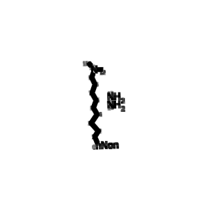 CCCCCCCCCCCCCCCCCCN(C)C.NN